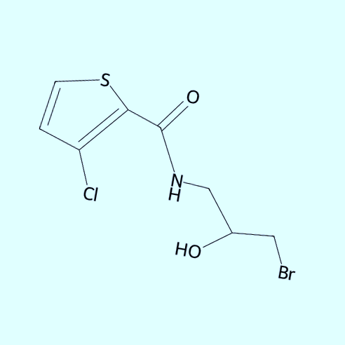 O=C(NCC(O)CBr)c1sccc1Cl